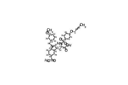 CC#CCOc1ccc(S(=O)(=O)NC(Cc2cn(Cc3cccc(OC)c3)c3ccc(C(=O)O)cc23)C(=O)O)cc1